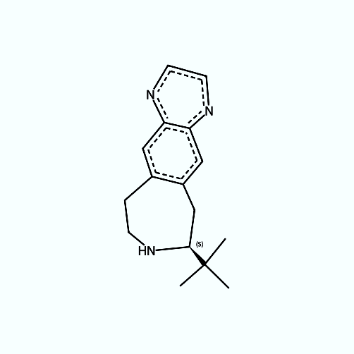 CC(C)(C)[C@@H]1Cc2cc3nccnc3cc2CCN1